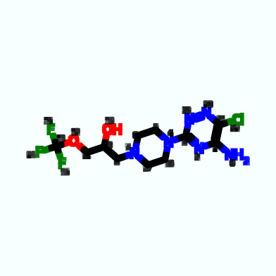 Nc1nc(N2CCN(CC(O)COC(F)(F)F)CC2)nnc1Cl